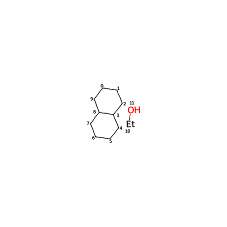 C1CCC2CCCCC2C1.CCO